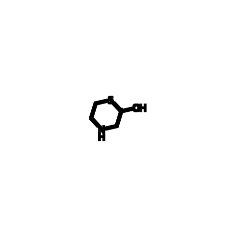 O[C]1CNCCS1